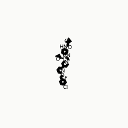 O=C(Nc1ccc2c(c1)nc(CN1CCC(c3cccc(OCc4ccc(Cl)cc4F)n3)CC1)n2C[C@@H]1CCO1)C1CCO1